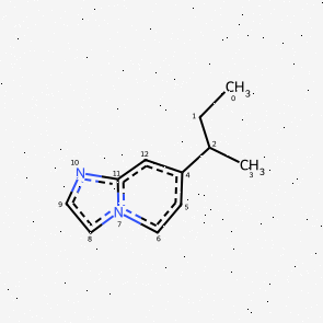 CCC(C)c1ccn2ccnc2c1